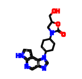 O=C1OC(CO)CN1C1CCC(n2cnc3cnc4[nH]ccc4c32)CC1